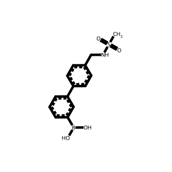 CS(=O)(=O)NCc1ccc(-c2cccc(B(O)O)c2)cc1